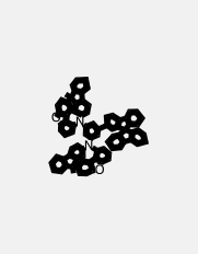 CC1(C)c2ccccc2-c2ccc(N(c3cc(-c4ccc5c(c4)C4(c6ccccc6-c6ccccc64)c4ccccc4-5)cc(N(c4ccc5c(c4)C(C)(C)c4ccccc4-5)c4cccc5oc6ccccc6c45)c3)c3cccc4oc5ccccc5c34)cc21